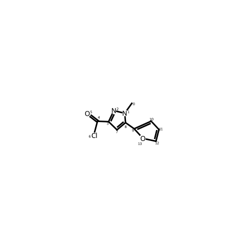 Cn1nc(C(=O)Cl)cc1-c1ccco1